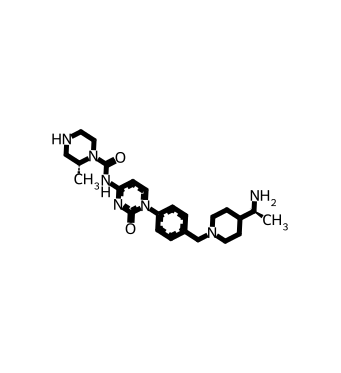 C[C@H](N)C1CCN(Cc2ccc(-n3ccc(NC(=O)N4CCNC[C@H]4C)nc3=O)cc2)CC1